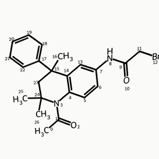 CC(=O)N1c2ccc(NC(=O)CBr)cc2C(C)(c2ccccc2)CC1(C)C